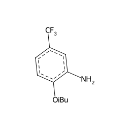 CC(C)COc1ccc(C(F)(F)F)cc1N